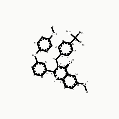 COc1ccc(Oc2cccc(-c3nc4ccc(OC)cc4c(=O)n3Cc3ccc(C(F)(F)F)cc3)c2)cc1